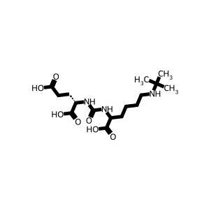 CC(C)(C)NCCCCC(NC(=O)N[C@@H](CCC(=O)O)C(=O)O)C(=O)O